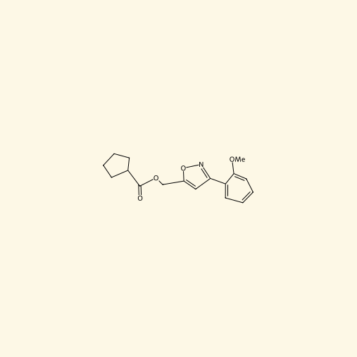 COc1ccccc1-c1cc(COC(=O)C2CCCC2)on1